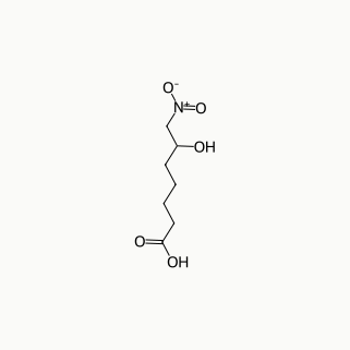 O=C(O)CCCCC(O)C[N+](=O)[O-]